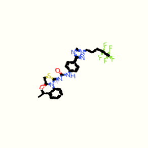 CC(C)c1ccccc1N1C(=O)CS/C1=N\C(=O)Nc1ccc(-c2ncn(CCCC(F)(F)C(F)(F)F)n2)cc1